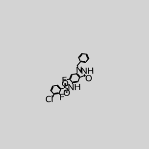 O=c1[nH]n(Cc2ccccc2)c2cc(F)c(NS(=O)(=O)c3cccc(Cl)c3F)cc12